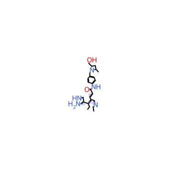 CC\N=C/C(/C=C/C(=O)Nc1ccc(CN2C(C)CC2CO)cc1)=C(CC)/C(C=N)=C/N